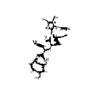 Cc1oc(-n2c(C)cc(/C=C(\C#N)c3nc4ccc(F)cc4[nH]3)c2C)c(C#N)c1C